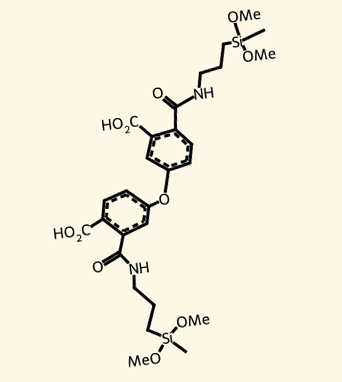 CO[Si](C)(CCCNC(=O)c1ccc(Oc2ccc(C(=O)O)c(C(=O)NCCC[Si](C)(OC)OC)c2)cc1C(=O)O)OC